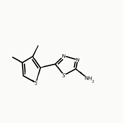 Cc1csc(-c2nnc(N)s2)c1C